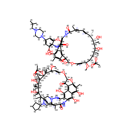 CO[C@H]1/C=C/O[C@@]2(C)Oc3c(C)c(O)c4c(=O)c(c5oc6cc(N7CCN(CC(C)C)CC7)cc(O)c6nc-5c4c3C2=O)NC(=O)/C(C)=C\C=C\[C@H](C)[C@H](O)[C@@H](C)[C@@H](O)[C@@H](C)[C@H](OC(C)=O)[C@@H]1C.CO[C@H]1/C=C/O[C@@]2(C)Oc3c(C)c(O)c4c(O)c(c(/C=N/N5CCN(C6CCCC6)CC5)c(O)c4c3C2=O)NC(=O)/C(C)=C\C=C\[C@H](C)[C@H](O)[C@@H](C)[C@@H](O)[C@@H](C)[C@H](OC(C)=O)[C@@H]1C